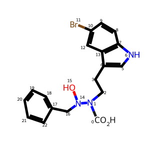 O=C(O)N(CCc1c[nH]c2ccc(Br)cc12)N(O)Cc1ccccc1